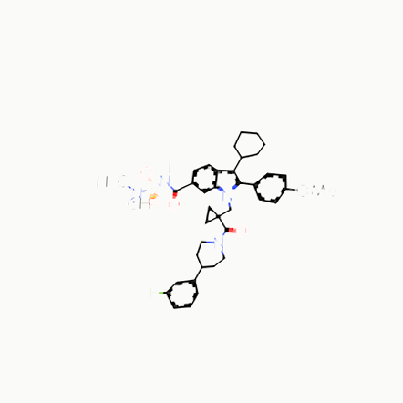 COc1ccc(-c2c(C3CCCCC3)c3ccc(C(=O)NS(=O)(=O)N(C)C)cc3n2CC2(C(=O)N3CCC(c4cccc(F)c4)CC3)CC2)cc1